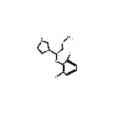 COC[C@@H](Oc1c(Cl)cccc1Cl)[C@H]1CCNC1